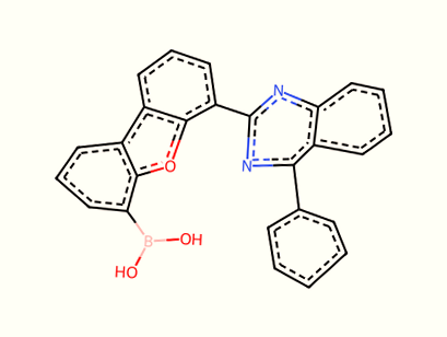 OB(O)c1cccc2c1oc1c(-c3nc(-c4ccccc4)c4ccccc4n3)cccc12